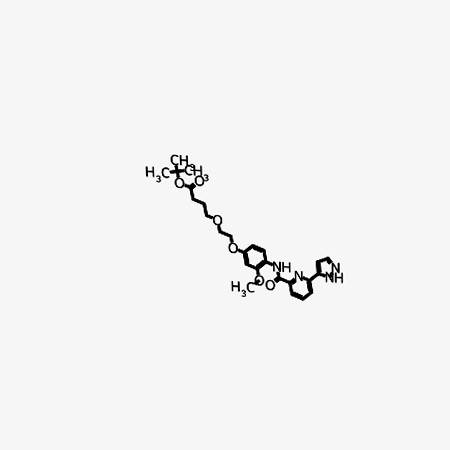 COc1cc(OCCOCCCC(=O)OC(C)(C)C)ccc1NC(=O)c1cccc(-c2ccn[nH]2)n1